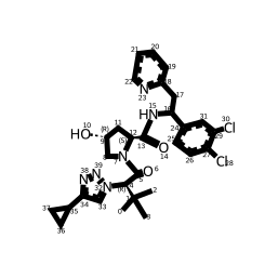 CC(C)(C)[C@H](C(=O)N1C[C@H](O)C[C@H]1C(=O)NC(Cc1ccccn1)c1ccc(Cl)c(Cl)c1)n1cc(C2CC2)nn1